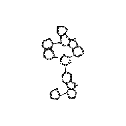 c1ccc(-c2nc(-c3ccc4c(c3)oc3cccc(-c5ccccc5)c34)nc(-c3cccc4oc5c6ccccc6c(-c6ccccc6)cc5c34)n2)cc1